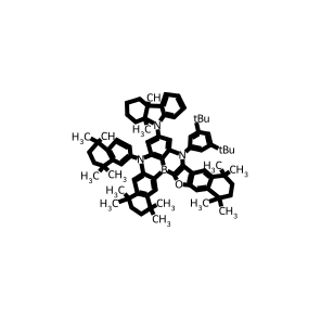 CC(C)(C)c1cc(N2c3cc(N4c5ccccc5C5(C)CCCCC45C)cc4c3B(c3cc5c(cc3N4c3ccc4c(c3)C(C)(C)CCC4(C)C)C(C)(C)CCC5(C)C)c3oc4cc5c(cc4c32)C(C)(C)CCC5(C)C)cc(C(C)(C)C)c1